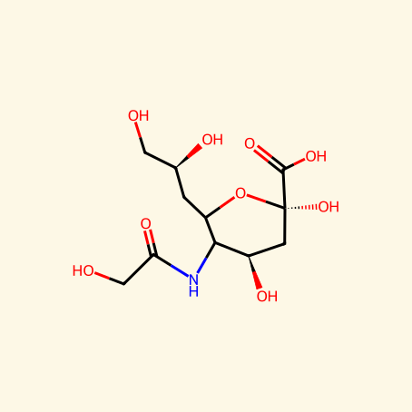 O=C(CO)NC1C(C[C@H](O)CO)O[C@@](O)(C(=O)O)C[C@H]1O